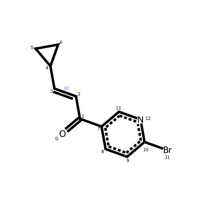 O=C(/C=C/C1CC1)c1ccc(Br)nc1